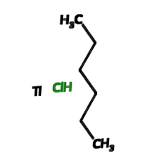 CCCCCC.Cl.[Ti]